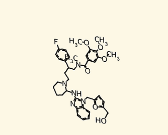 COc1cc(C(=O)N(C)CC(CCN2CCCCC2Nc2nc3ccccc3n2Cc2ccc(CO)o2)c2ccc(F)cc2)cc(OC)c1OC